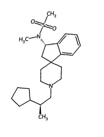 C[C@H](CN1CCC2(CC1)C[C@H](N(C)S(C)(=O)=O)c1ccccc12)C1CCCC1